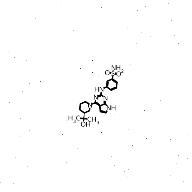 CC(C)(O)[C@H]1CCCN(c2nc(Nc3cccc(S(N)(=O)=O)c3)nc3[nH]ccc23)C1